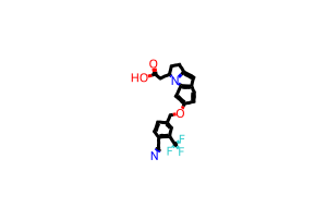 N#Cc1ccc(COc2ccc3cc4n(c3c2)C(CC(=O)O)CC4)cc1C(F)(F)F